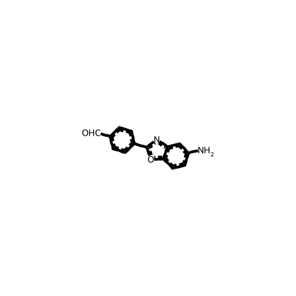 Nc1ccc2oc(-c3ccc(C=O)cc3)nc2c1